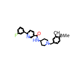 COc1ccc(CN2CCC(NC(=O)c3ccc(-c4cccc(F)c4)nc3)CC2)cc1C